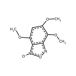 COc1cc(OC)c2c(no[n+]2[O-])c1OC